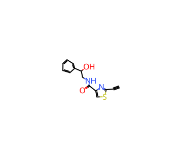 C#Cc1nc(C(=O)NCC(O)c2ccccc2)cs1